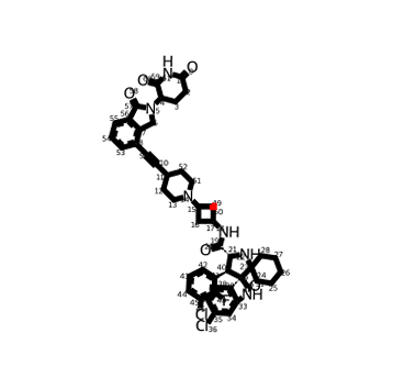 O=C1CCC(N2Cc3c(C#CC4CCN(C56CC(NC(=O)[C@@H]7NC8(CCCCC8)[C@@]8(C(=O)Nc9cc(Cl)ccc98)[C@H]7c7cccc(Cl)c7F)(C5)C6)CC4)cccc3C2=O)C(=O)N1